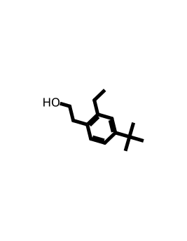 CCc1cc(C(C)(C)C)ccc1CCO